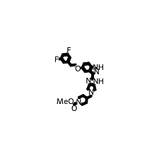 COC(=O)N1CCC(CN2Cc3nc(-c4n[nH]c5ccc(OCCc6cc(F)cc(F)c6)cc45)[nH]c3C2)CC1